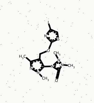 Cc1nn(C)c(-n2c(=O)n(C)n2C)c1COc1nc(I)cs1